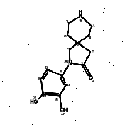 O=C1CC2(CCNCC2)CN1c1ccc(O)c(O)c1